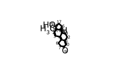 C[C@]12C=CC3=C4CCC(=O)C=C4CCC3[C@@H]1CCC2O